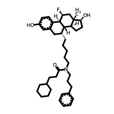 C[C@]12C[C@H](F)[C@@H]3c4ccc(O)cc4C[C@@H](CCCCCN(CCCc4ccccc4)C(=O)CCC4CCCCC4)[C@H]3[C@@H]1CC[C@@H]2O